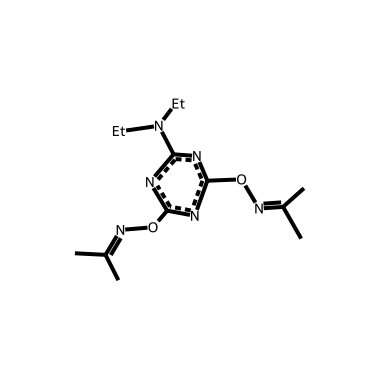 CCN(CC)c1nc(ON=C(C)C)nc(ON=C(C)C)n1